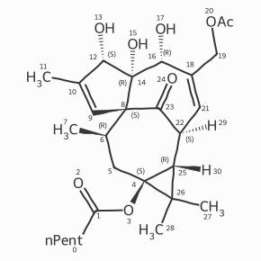 CCCCCC(=O)O[C@@]12C[C@@H](C)[C@]34C=C(C)[C@H](O)[C@@]3(O)[C@H](O)C(COC(C)=O)=C[C@H](C4=O)[C@@H]1C2(C)C